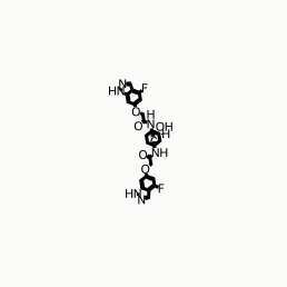 O=C(COc1cc(F)c2cn[nH]c2c1)NC12CCC(NC(=O)COc3cc(F)c4cn[nH]c4c3)(CC1)[C@@H](O)C2